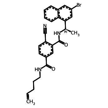 C=CCCCNC(=O)c1ccc(C#N)c(C(=O)N[C@H](C)c2cc(Br)cc3ccccc23)c1